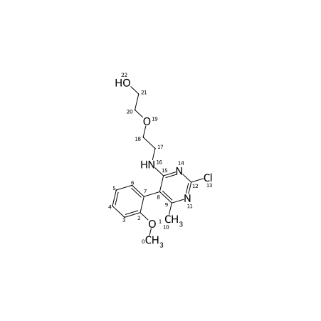 COc1ccccc1-c1c(C)nc(Cl)nc1NCCOCCO